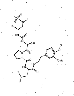 CCOc1ccc(CCNC(=O)[C@H](CC(F)F)NC(=O)[C@@H]2CCCN2C(=O)[C@@H](NC(=O)N[C@H](CN(C)S(C)(=O)=O)C(C)(C)C)C(C)(C)C)cc1OC